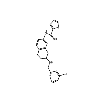 N=C(Nc1ccc2c(c1)CC(NCc1cccc(Cl)c1)CC2)c1cccs1